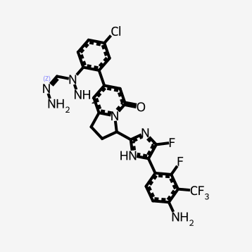 N/N=C\N(N)c1ccc(Cl)cc1-c1cc2n(c(=O)c1)C(c1nc(F)c(-c3ccc(N)c(C(F)(F)F)c3F)[nH]1)CC2